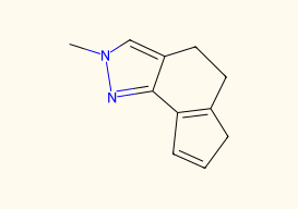 Cn1cc2c(n1)C1=C(CC=C1)CC2